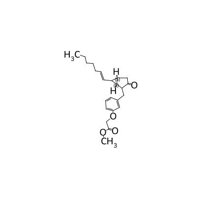 CCCCCC=CC1[C@H]2C(Cc3cccc(OCC(=O)OC)c3)C(=O)C[C@@H]12